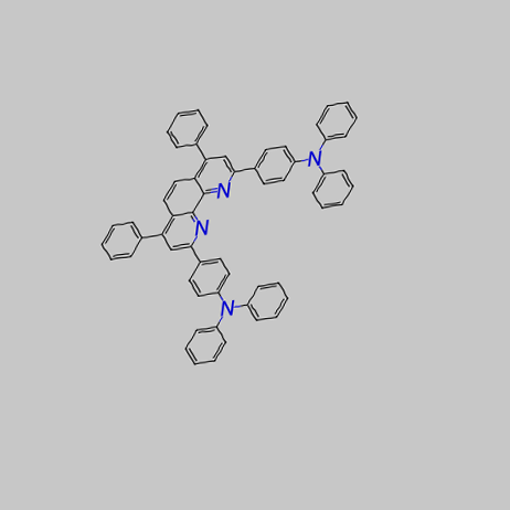 c1ccc(-c2cc(-c3ccc(N(c4ccccc4)c4ccccc4)cc3)nc3c2ccc2c(-c4ccccc4)cc(-c4ccc(N(c5ccccc5)c5ccccc5)cc4)nc23)cc1